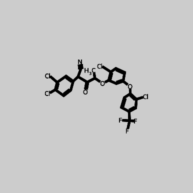 CC(Oc1cc(Oc2ccc(C(F)(F)F)cc2Cl)ccc1Cl)C(=O)C(C#N)c1ccc(Cl)c(Cl)c1